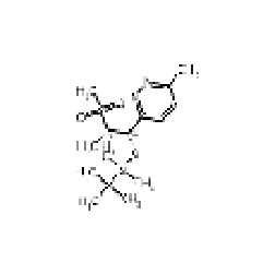 Cc1ccc([C@H](O[Si](C)(C)C(C)(C)C)[C@H](C)S(C)(=O)=O)nn1